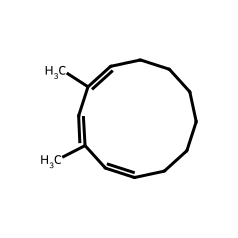 CC1=CCCCCCCC=CC(C)=C1